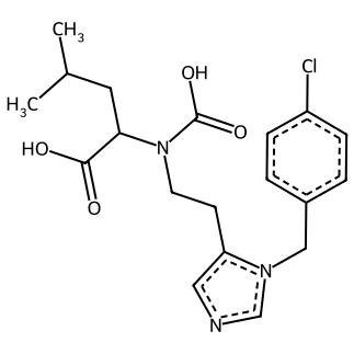 CC(C)CC(C(=O)O)N(CCc1cncn1Cc1ccc(Cl)cc1)C(=O)O